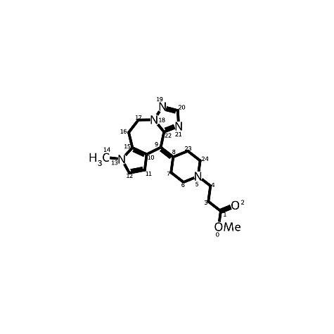 COC(=O)CCN1CCC(=C2c3ccn(C)c3CCn3ncnc32)CC1